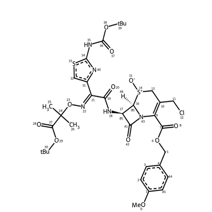 COc1ccc(COC(=O)C2=C(CCl)C[S+]([O-])[C@@H]3[C@H](NC(=O)C(=NOC(C)(C)C(=O)OC(C)(C)C)c4csc(NC(=O)OC(C)(C)C)n4)C(=O)N23)cc1